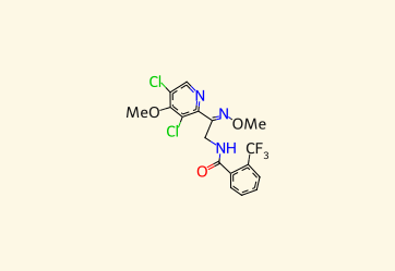 CON=C(CNC(=O)c1ccccc1C(F)(F)F)c1ncc(Cl)c(OC)c1Cl